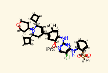 Cc1cc(Nc2ncc(Cl)c(Nc3ccccc3S(=O)(=O)C(C)C)n2)c(OC(C)C)cc1C1=C[C@H](C2CCC2)N(C2CCOCC2)[C@@H](C2CCC2)C1